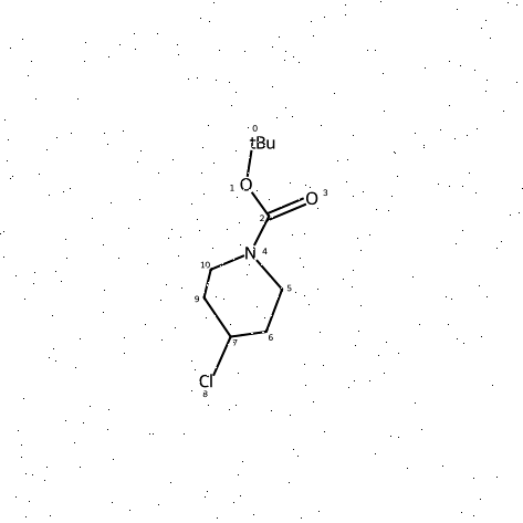 CC(C)(C)OC(=O)N1CCC(Cl)CC1